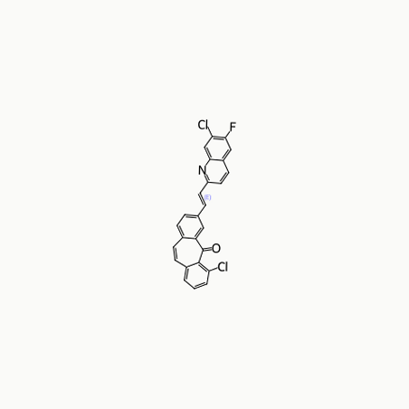 O=c1c2cc(/C=C/c3ccc4cc(F)c(Cl)cc4n3)ccc2ccc2cccc(Cl)c12